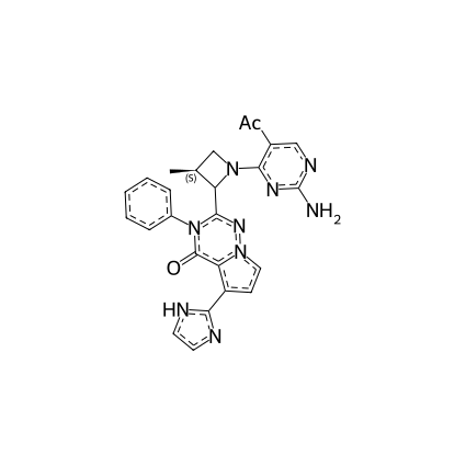 CC(=O)c1cnc(N)nc1N1C[C@H](C)C1c1nn2ccc(-c3ncc[nH]3)c2c(=O)n1-c1ccccc1